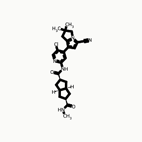 CNC(=O)[C@@H]1C[C@@H]2C[C@H](C(=O)Nc3cc(-c4cc(C#N)n5c4CC(C)(C)C5)c(Cl)cn3)C[C@@H]2C1